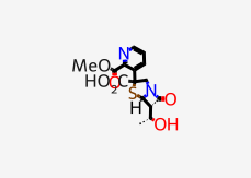 COC(=O)c1ncccc1C1(C(=O)O)CN2C(=O)[C@H]([C@@H](C)O)[C@H]2S1